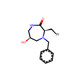 CC(C)C[C@@H]1C(=O)NC[C@H](O)CN1Cc1ccccc1